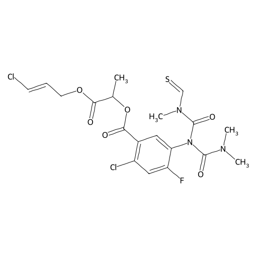 CC(OC(=O)c1cc(N(C(=O)N(C)C)C(=O)N(C)C=S)c(F)cc1Cl)C(=O)OC/C=C/Cl